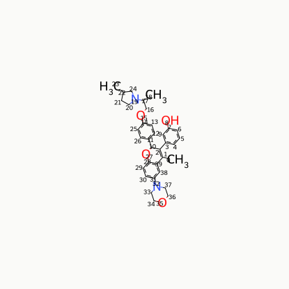 CC1=C(c2cccc(O)c2)C(c2ccc(OC[C@H](C)N3CC[C@@H](C)C3)cc2)Oc2ccc(N3CCOCC3)cc21